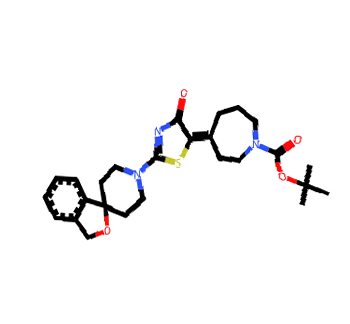 CC(C)(C)OC(=O)N1CCC/C(=C2/SC(N3CCC4(CC3)OCc3ccccc34)=NC2=O)CC1